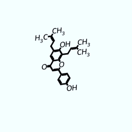 CC(C)=CCc1cc2c(=O)cc(-c3ccc(O)cc3)oc2c(CC=C(C)C)c1O